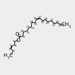 CC/C=C\CCOC(=O)CCCCCCC/C=C\CCCCCCCC